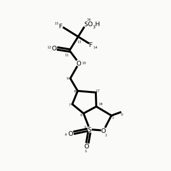 CC1OS(=O)(=O)C2CC(COC(=O)C(F)(F)S(=O)(=O)O)CC12